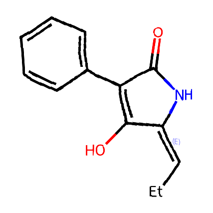 CC/C=C1/NC(=O)C(c2ccccc2)=C1O